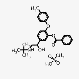 CS(=O)(=O)O.Cc1ccc(Oc2ccc(C(O)CNC(C)(C)C)cc2OC(=O)c2ccccc2)cc1